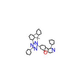 CC1(C)c2ccccc2-c2cccc(-c3nc(-c4ccccc4)nc(-c4ccc5c(c4)oc4ccnc(-c6ccccc6)c45)n3)c21